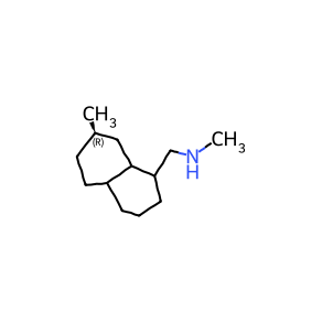 CNCC1CCCC2CC[C@@H](C)CC21